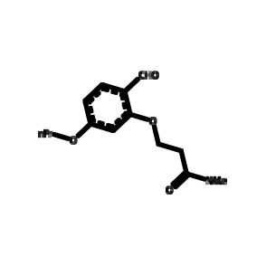 CCCOc1ccc(C=O)c(OCCC(=O)NC)c1